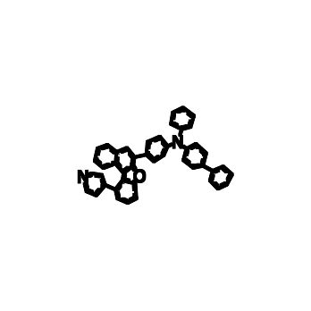 c1ccc(-c2ccc(N(c3ccccc3)c3ccc(-c4cc5ccccc5c5c4oc4cccc(-c6ccncc6)c45)cc3)cc2)cc1